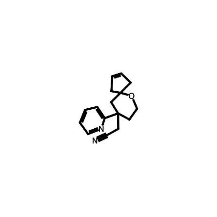 N#CCC1(c2ccccn2)CCOC2(CC=CC2)C1